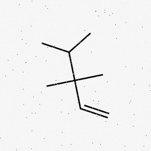 C=CC(C)(C)C(C)C